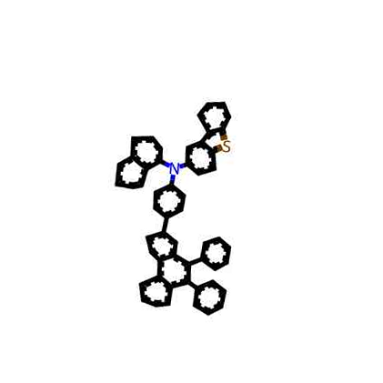 c1ccc(-c2c(-c3ccccc3)c3cc(-c4ccc(N(c5ccc6sc7ccccc7c6c5)c5cccc6ccccc56)cc4)ccc3c3ccccc23)cc1